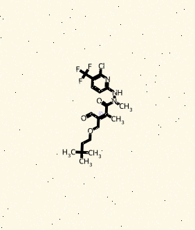 C/C(C(=O)N(C)Nc1ccc(C(F)(F)F)c(Cl)n1)=C(/C=O)COCCC(C)(C)C